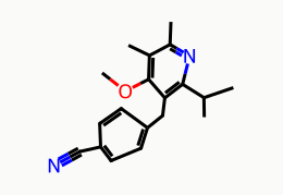 COc1c(C)c(C)nc(C(C)C)c1Cc1ccc(C#N)cc1